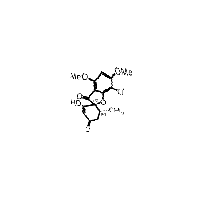 COc1cc(OC)c2c(c1Cl)O[C@]1(C2=O)C(O)=CC(=O)C[C@H]1C